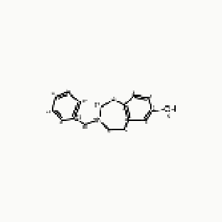 Oc1ccc2c(c1)CCN(Cc1ccccc1)CC2